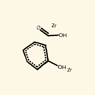 O=CO.Oc1ccccc1.[Zr].[Zr]